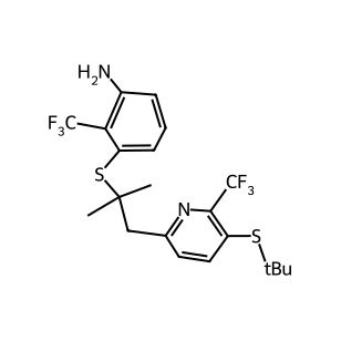 CC(C)(C)Sc1ccc(CC(C)(C)Sc2cccc(N)c2C(F)(F)F)nc1C(F)(F)F